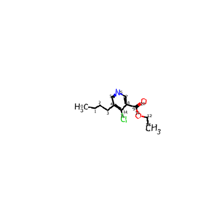 CCCCc1cncc(C(=O)OCC)c1Cl